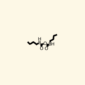 CCCCBC(=O)OC(=O)BCCCC